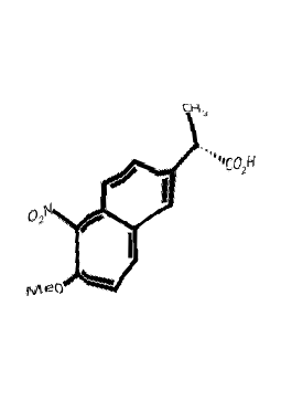 COc1ccc2cc([C@H](C)C(=O)O)ccc2c1[N+](=O)[O-]